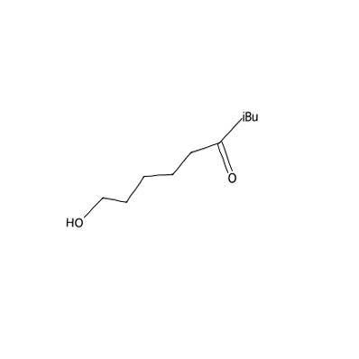 CCC(C)C(=O)CCCCCO